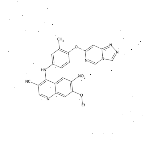 CCOc1cc2ncc(C#N)c(Nc3ccc(Oc4cc5nncn5cn4)c(C)c3)c2cc1[N+](=O)[O-]